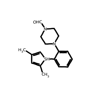 CC1=C[SH](c2ccccc2N2CCN(C=O)CC2)C(C)=C1